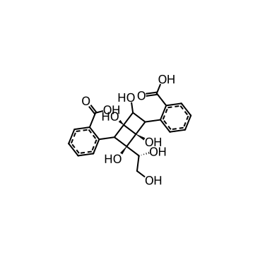 O=C(O)c1ccccc1C1C(O)[C@@]2(O)C(c3ccccc3C(=O)O)[C@@](O)([C@H](O)CO)[C@@]12O